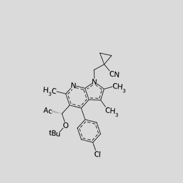 CC(=O)[C@@H](OC(C)(C)C)c1c(C)nc2c(c(C)c(C)n2CC2(C#N)CC2)c1-c1ccc(Cl)cc1